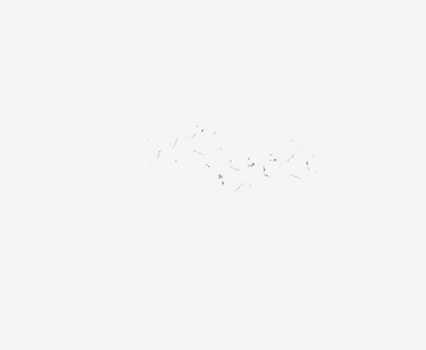 COC(=O)c1cc2c(s1)=C(Oc1cccc(NC(=P)Nc3cc(C)ccc3F)c1)CCN=2